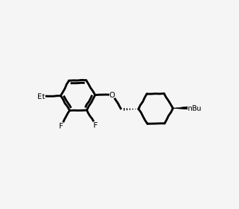 CCCC[C@H]1CC[C@H](COc2ccc(CC)c(F)c2F)CC1